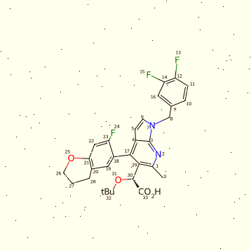 Cc1nc2c(ccn2Cc2ccc(F)c(F)c2)c(-c2cc3c(cc2F)OCCC3)c1[C@H](OC(C)(C)C)C(=O)O